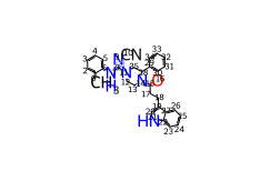 Cc1ccccc1N/C(=N/C#N)N1CCN(C(=O)CCc2c[nH]c3ccccc23)C(c2ccccc2)C1